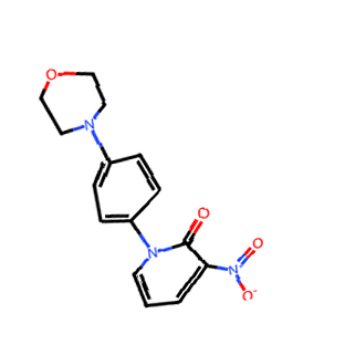 O=c1c([N+](=O)[O-])cccn1-c1ccc(N2CCOCC2)cc1